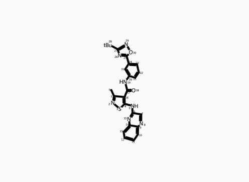 Cc1nsc(Nc2cnc3ccccc3n2)c1C(=O)Nc1cccc(-c2nc(C(C)(C)C)no2)c1